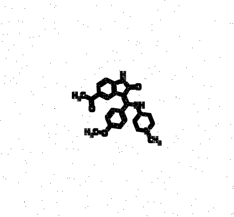 COc1ccc(/C(NC2CCN(C)CC2)=C2/C(=O)Nc3ccc(C(C)=O)cc32)cc1